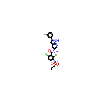 CCCS(=O)(=O)Nc1ccc(F)c(C(=O)Nc2cnc3[nH]c(-c4cccc(F)c4)cc3c2)c1F